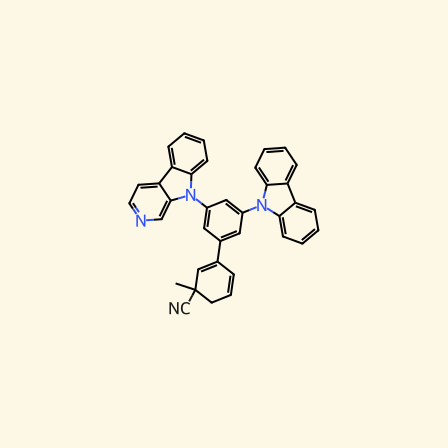 CC1(C#N)C=C(c2cc(-n3c4ccccc4c4ccccc43)cc(-n3c4ccccc4c4ccncc43)c2)C=CC1